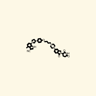 Cc1ccc(N2CC[C@@H](c3ccc(OCCCCN4CCN(c5ccc6c(c5)CN(C5CCC(=O)NC5=O)C6=O)CC4)cc3)C2)c2[nH]cc(C#N)c12